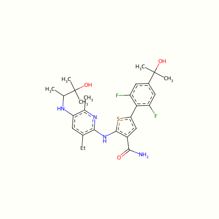 CCc1cc(NC(C)C(C)(C)O)c(C)nc1Nc1sc(-c2c(F)cc(C(C)(C)O)cc2F)cc1C(N)=O